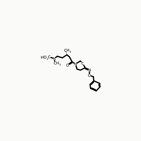 C[C@@H](CCN(C)C(=O)O)CC(=O)N1CCC(=NOCc2ccccc2)CC1